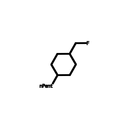 CCCCCC1CCC(CF)CC1